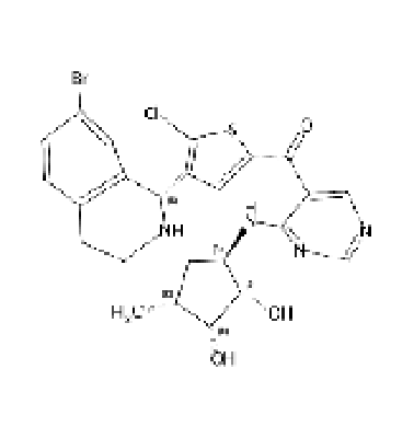 C[C@@H]1C[C@@H](Nc2ncncc2C(=O)c2cc([C@@H]3NCCc4ccc(Br)cc43)c(Cl)s2)[C@H](O)[C@@H]1O